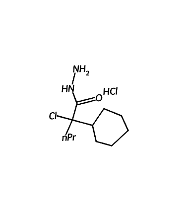 CCCC(Cl)(C(=O)NN)C1CCCCC1.Cl